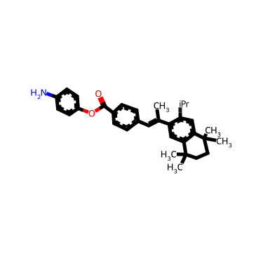 CC(=Cc1ccc(C(=O)Oc2ccc(N)cc2)cc1)c1cc2c(cc1C(C)C)C(C)(C)CCC2(C)C